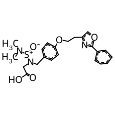 CN(C)[S+]([O-])N(CC(=O)O)Cc1ccc(OCCc2coc(-c3ccccc3)n2)cc1